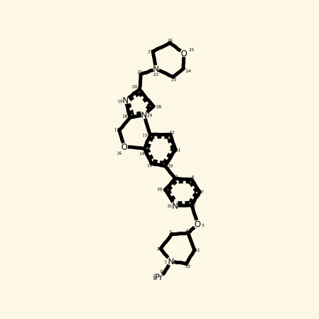 CC(C)N1CCC(Oc2ccc(-c3ccc4c(c3)OCc3nc(CN5CCOCC5)cn3-4)cn2)CC1